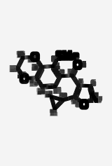 CSc1c(C(=O)c2cnoc2C2CC2)ccc2c1OCCO2